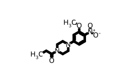 CCC(=O)N1CCN(c2ccc([N+](=O)[O-])c(OC)c2)CC1